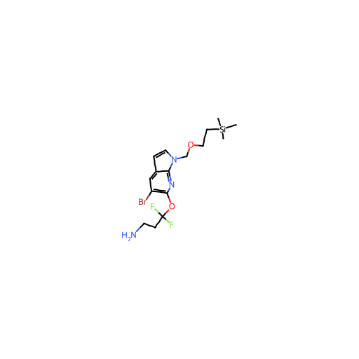 C[Si](C)(C)CCOCn1ccc2cc(Br)c(OC(F)(F)CCN)nc21